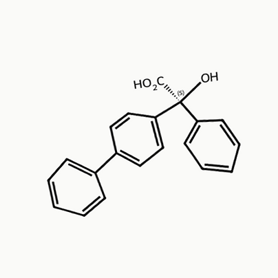 O=C(O)[C@](O)(c1ccccc1)c1ccc(-c2ccccc2)cc1